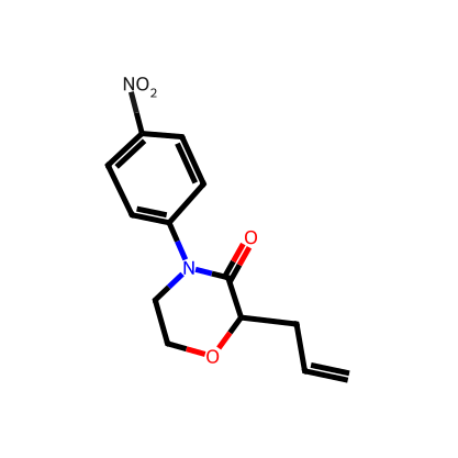 C=CCC1OCCN(c2ccc([N+](=O)[O-])cc2)C1=O